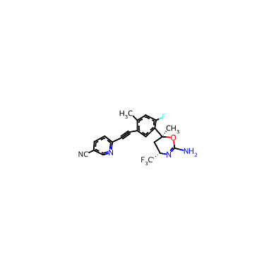 Cc1cc(F)c([C@]2(C)C[C@@H](C(F)(F)F)N=C(N)O2)cc1C#Cc1ccc(C#N)cn1